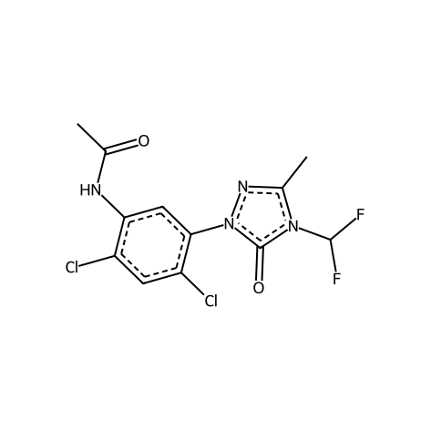 CC(=O)Nc1cc(-n2nc(C)n(C(F)F)c2=O)c(Cl)cc1Cl